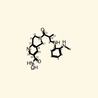 CNc1ccccc1NCC(C)C(=O)N1CCc2ncc(C(=O)NO)cc2C1